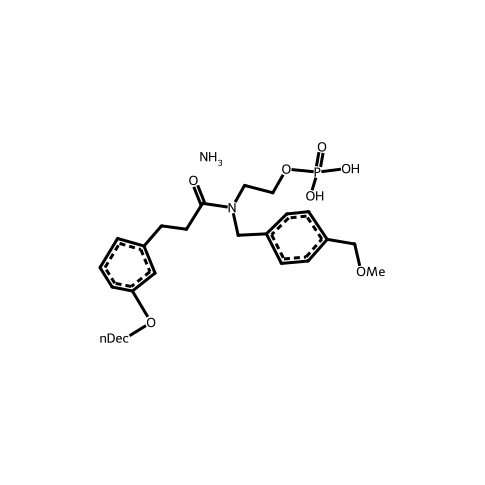 CCCCCCCCCCOc1cccc(CCC(=O)N(CCOP(=O)(O)O)Cc2ccc(COC)cc2)c1.N